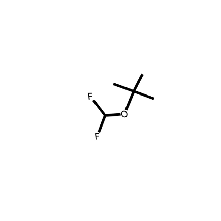 CC(C)(C)O[C](F)F